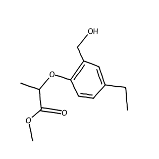 CCc1ccc(OC(C)C(=O)OC)c(CO)c1